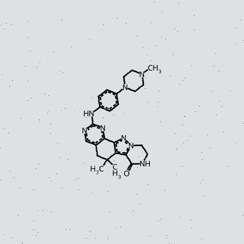 CN1CCN(c2ccc(Nc3ncc4c(n3)-c3nn5c(c3C(C)(C)C4)C(=O)NCC5)cc2)CC1